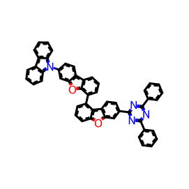 c1ccc(-c2nc(-c3ccccc3)nc(-c3ccc4c(c3)oc3cccc(-c5cccc6c5oc5cc(-n7c8ccccc8c8ccccc87)ccc56)c34)n2)cc1